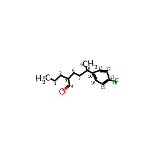 CCCC(C=O)CCC(C)c1ccc(F)cc1